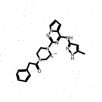 Cc1cc(Nc2nc(N3CCN(C(=O)Cc4ccccc4)C[C@H]3C)nn3cccc23)n[nH]1